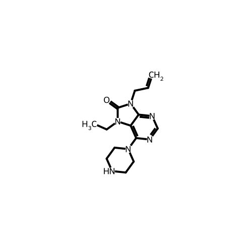 C=CCn1c(=O)n(CC)c2c(N3CCNCC3)ncnc21